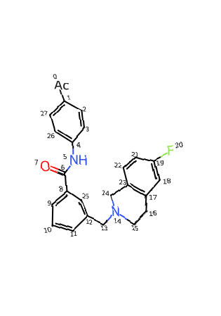 CC(=O)c1ccc(NC(=O)c2cccc(CN3CCc4cc(F)ccc4C3)c2)cc1